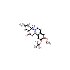 [2H]C([2H])([2H])Oc1cc2c(cc1OC)CCN1C2CC(=O)C(CC(C)C)C1([2H])[2H]